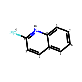 [18F]c1ccc2ccccc2n1